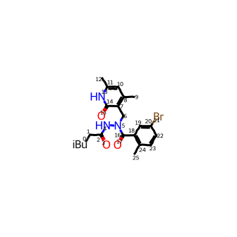 CCC(C)CC(=O)NN(Cc1c(C)cc(C)[nH]c1=O)C(=O)c1cc(Br)ccc1C